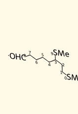 CSCCC(CCCC[C]=O)SC